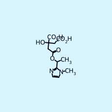 CC(OC(=O)CC(O)(CC(=O)O)C(=O)O)c1nccn1C